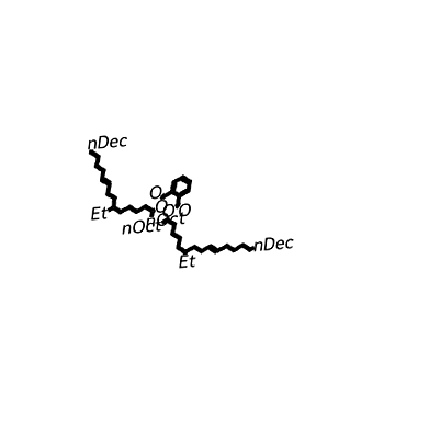 CCCCCCCCCCCCCCC=CCCC(CC)CCCCC(CCCCCCCC)OC(=O)c1ccccc1C(=O)OC(CCCCCCCC)CCCCC(CC)CCC=CCCCCCCCCCCCCCC